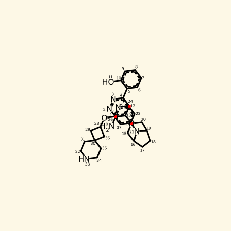 Nc1nnc(-c2ccccc2O)cc1N1CC2CCC(C1)N2c1ccnc(OC2CC3(CCNCC3)C2)c1